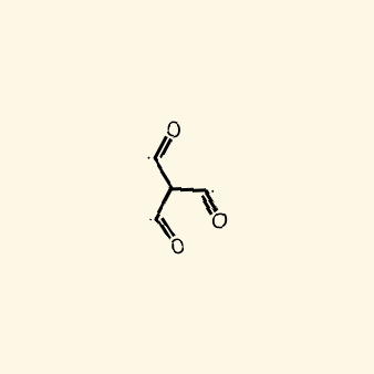 O=[C]C([C]=O)[C]=O